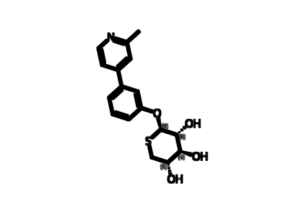 Cc1cc(-c2cccc(O[C@@H]3SC[C@@H](O)[C@H](O)[C@H]3O)c2)ccn1